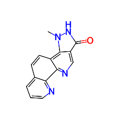 Cn1[nH]c(=O)c2cnc3c(ccc4cccnc43)c21